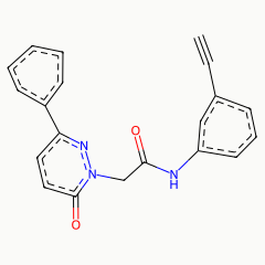 C#Cc1cccc(NC(=O)Cn2nc(-c3ccccc3)ccc2=O)c1